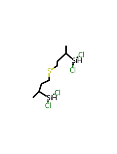 CC(CCSCCC(C)[SiH](Cl)Cl)[SiH](Cl)Cl